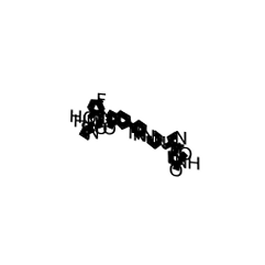 O=C1CCN(c2cnccc2CN2CCN(c3ccc(-c4ccc5c(c4)C(=O)N(C(C(=O)Nc4nccs4)c4cc(F)ccc4O)C5)nn3)CC2)C(=O)N1